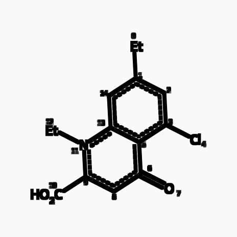 CCc1cc(Cl)c2c(=O)cc(C(=O)O)n(CC)c2c1